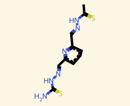 CC(=S)N/N=C/c1cccc(/C=N/NC(N)=S)n1